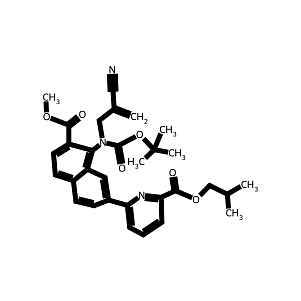 C=C(C#N)CN(C(=O)OC(C)(C)C)c1c(C(=O)OC)ccc2ccc(-c3cccc(C(=O)OCC(C)C)n3)cc12